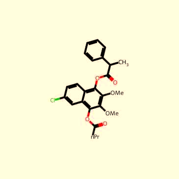 CCCC(=O)Oc1c(OC)c(OC)c(OC(=O)C(C)c2ccccc2)c2ccc(Cl)cc12